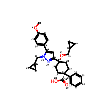 COc1ccc(-c2cc([C@]3(OCC4CC4)CC[C@](C(=O)O)(c4ccccc4)CC3)nn2CC2CC2)cc1